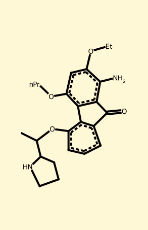 CCCOc1cc(OCC)c(N)c2c1-c1c(OC(C)C3CCCN3)cccc1C2=O